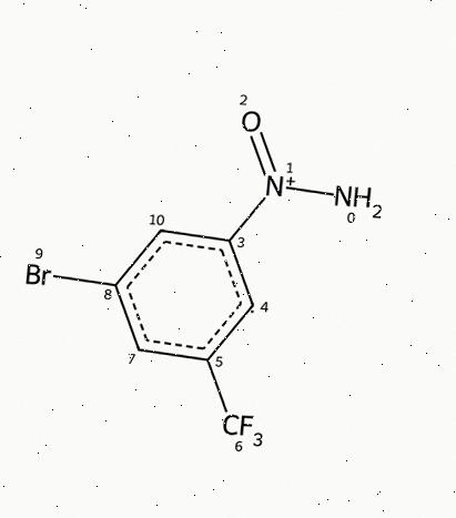 N[N+](=O)c1[c]c(C(F)(F)F)cc(Br)c1